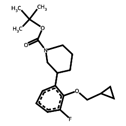 CC(C)(C)OC(=O)N1CCCC(c2cccc(F)c2OCC2CC2)C1